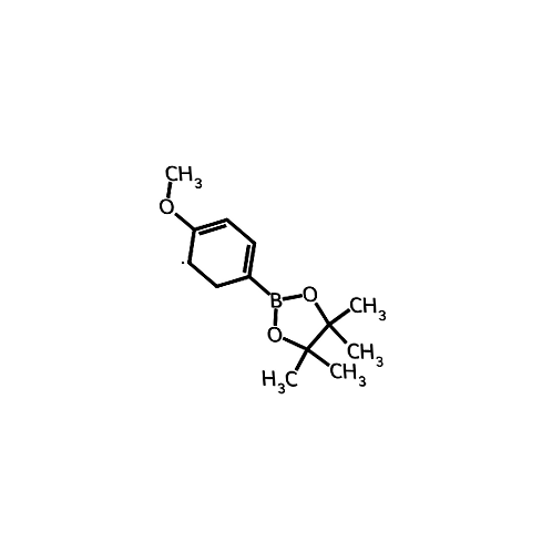 COC1=CC=C(B2OC(C)(C)C(C)(C)O2)C[CH]1